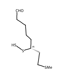 CSCC[C@@H](CCCCC=O)SS